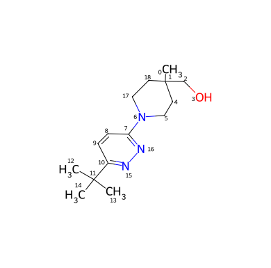 CC1(CO)CCN(c2ccc(C(C)(C)C)nn2)CC1